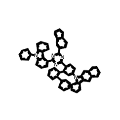 c1ccc(-c2ccccc2-c2cc(-n3c4ccccc4c4cc5ccccc5cc43)ccc2-c2nc(-c3ccc4ccccc4c3)nc(-c3cccc4c3c3ccccc3n4-c3ccccc3)n2)cc1